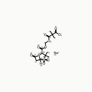 CC(C)(C(=O)[O-])C(=O)OCOC(=O)[C@@H]1N2C(=O)C[C@H]2S(=O)(=O)C1(C)C.[Na+]